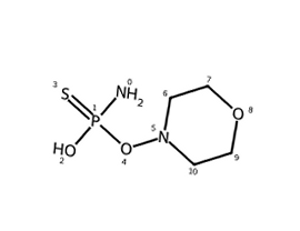 NP(O)(=S)ON1CCOCC1